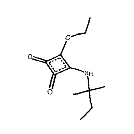 CCOc1c(NC(C)(C)CC)c(=O)c1=O